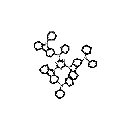 c1ccc(N(c2ccccc2)c2ccc3c(c2)c2ccccc2n3-c2nc(N(c3ccccc3)c3ccc4c5ccccc5n(-c5ccccc5)c4c3)nc(-n3c4ccccc4c4ccc(N(c5ccccc5)c5ccccc5)cc43)n2)cc1